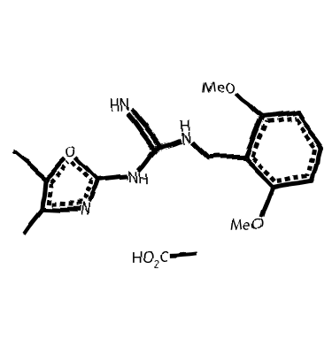 CC(=O)O.COc1cccc(OC)c1CNC(=N)Nc1nc(C)c(C)o1